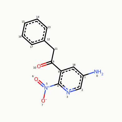 Nc1cnc([N+](=O)[O-])c(C(=O)Cc2ccccc2)c1